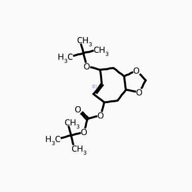 CC(C)(C)OC(=O)OC1/C=C/C(OC(C)(C)C)CC2OCOC2C1